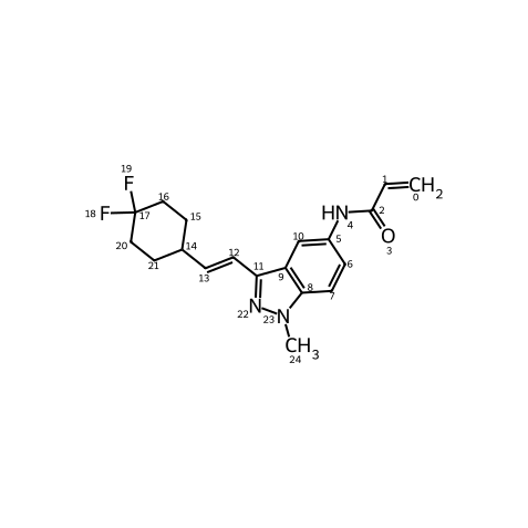 C=CC(=O)Nc1ccc2c(c1)c(C=CC1CCC(F)(F)CC1)nn2C